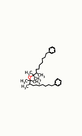 CC(CCCCCCCc1ccccc1)C(C)(C)OC(C)(C)C(C)CCCCCCCc1ccccc1